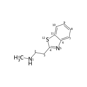 CNCCc1nc2ccccc2s1